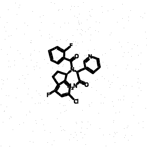 NC(=O)[C@@H](c1cccnc1)N(C(=O)c1ccccc1F)[C@@H]1CCc2c(F)cc(Cl)cc21